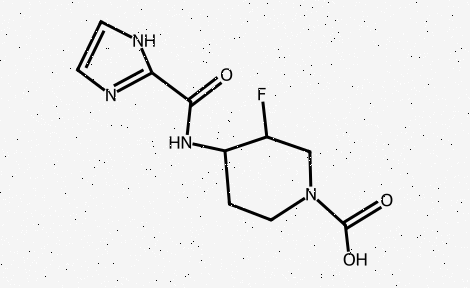 O=C(NC1CCN(C(=O)O)CC1F)c1ncc[nH]1